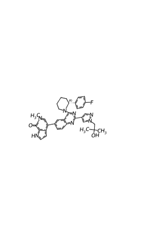 Cn1cc(-c2ccc3nc(-c4cnn(CC(C)(C)O)c4)nc(N4CCCC[C@@H]4c4ccc(F)cc4)c3c2)c2cc[nH]c2c1=O